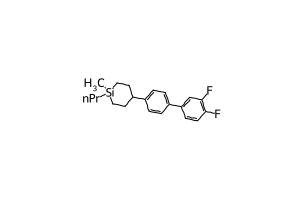 CCC[Si]1(C)CCC(c2ccc(-c3ccc(F)c(F)c3)cc2)CC1